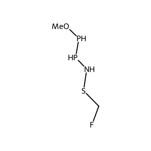 COPPNSCF